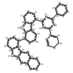 C1=CC(c2nc(-c3ccccc3)nc(-c3cccc4oc5c(-c6cccc7oc8cc9ccccc9cc8c67)cccc5c34)n2)=CCC1